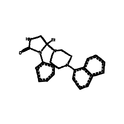 CCC1(N2CCN(c3cccc4ccccc34)CC2)CNC(=O)N1c1ccccc1